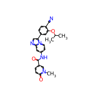 CC(C)Oc1cc(-c2cnc3cc(NC(=O)c4ccc(=O)n(C)c4)ccn23)ccc1C#N